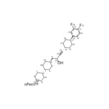 CCCCC[SiH]1CCC([C@H]2CC[C@H](CC(O)C#C[C@H]3CC[C@H](c4ccc(F)c(F)c4)CC3)CC2)CC1